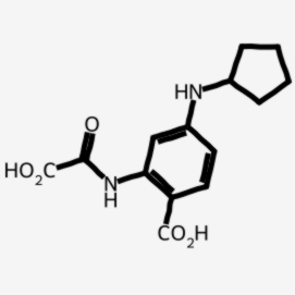 O=C(O)C(=O)Nc1cc(NC2CCCC2)ccc1C(=O)O